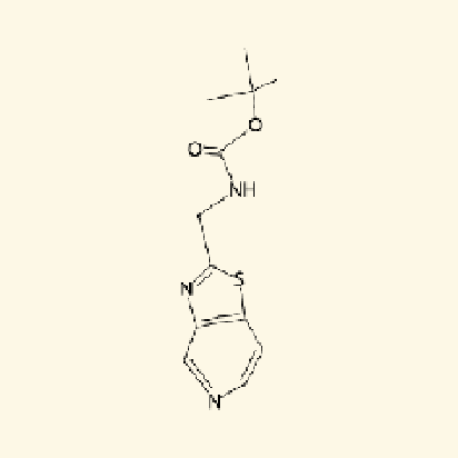 CC(C)(C)OC(=O)NCc1nc2cnccc2s1